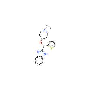 CN1CCC(OC(c2nc3ccccc3[nH]2)c2cccs2)CC1